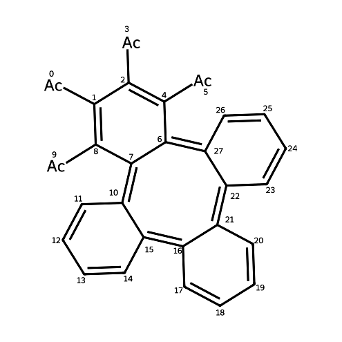 CC(=O)c1c(C(C)=O)c(C(C)=O)c2/c(c1C(C)=O)=c1/cccc/c1=c1\cccc\c1=c1/cccc/c1=2